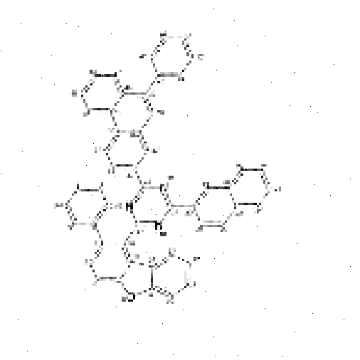 c1ccc(-c2ccc3oc4ccccc4c3c2-c2nc(-c3ccc4ccccc4c3)nc(-c3ccc4c(c3)cc(-c3ccccc3)c3ccccc34)n2)cc1